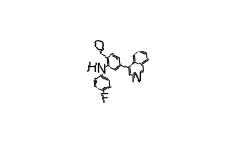 O=Cc1ccc(-c2cncc3ccccc23)cc1Nc1ccc(F)cc1